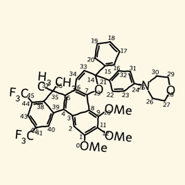 COc1cc2c3c(c4c(c2c(OC)c1OC)OC(c1ccccc1)(c1ccc(N2CCOCC2)cc1)C=C4)C(C)(C)c1c-3cc(C(F)(F)F)cc1C(F)(F)F